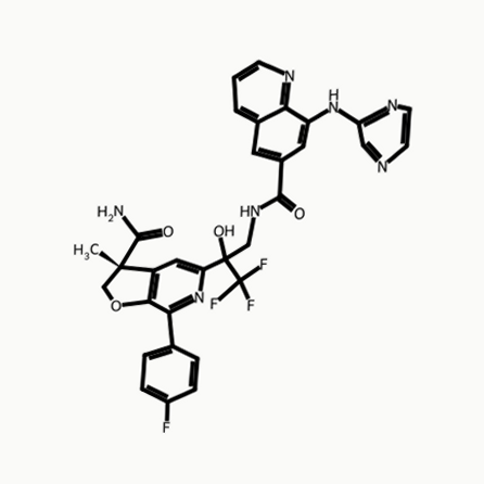 C[C@]1(C(N)=O)COc2c1cc(C(O)(CNC(=O)c1cc(Nc3cnccn3)c3ncccc3c1)C(F)(F)F)nc2-c1ccc(F)cc1